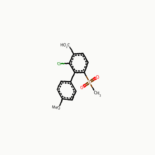 COc1ccc(-c2c(S(C)(=O)=O)ccc(C(=O)O)c2Cl)cc1